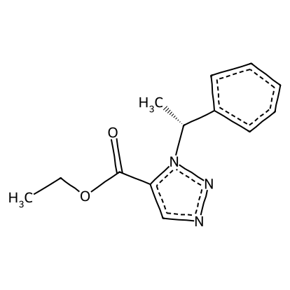 CCOC(=O)c1cnnn1[C@H](C)c1ccccc1